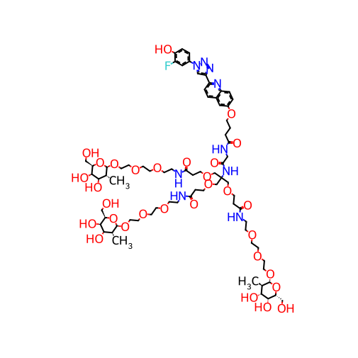 C[C@H]1[C@H](OCCOCCOCCNC(=O)CCOCC(COCCC(=O)NCCOCCOCCO[C@@H]2O[C@H](CO)[C@H](O)[C@H](O)[C@H]2C)(COCCC(=O)NCCOCCOCCO[C@@H]2O[C@H](CO)[C@H](O)[C@H](O)[C@H]2C)NC(=O)CNC(=O)CCCOc2ccc3nc(-c4cn(-c5ccc(O)c(F)c5)nn4)ccc3c2)O[C@H](CO)[C@H](O)[C@@H]1O